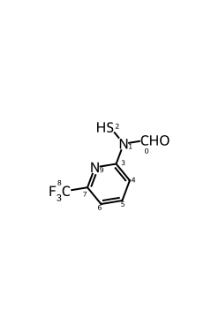 O=CN(S)c1cccc(C(F)(F)F)n1